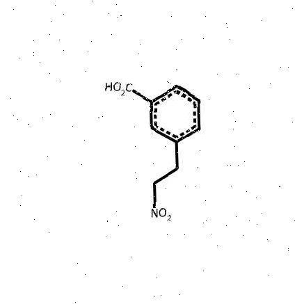 O=C(O)c1cccc(CC[N+](=O)[O-])c1